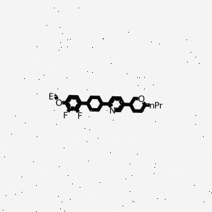 CCCC1CCC(c2ccc(C3CCC(c4ccc(OCC)c(F)c4F)CC3)nc2)CO1